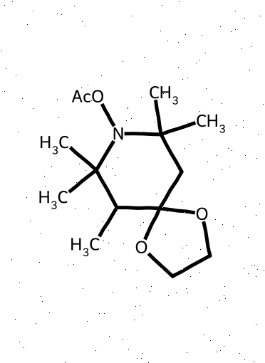 CC(=O)ON1C(C)(C)CC2(OCCO2)C(C)C1(C)C